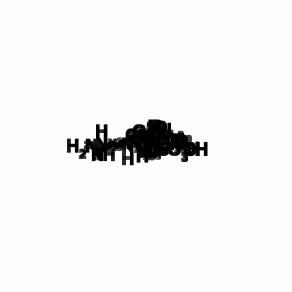 CC[C@H](C)[C@@H](NC(=O)[C@H](O)Cc1ccc(O)cc1)C(=O)N1[C@H](C(=O)NCCCCNC(=N)N)C[C@@H]2CC[C@@H](S(=O)(=O)O)C[C@@H]21